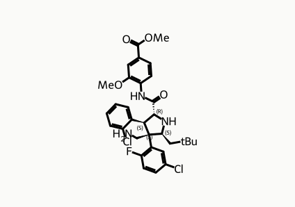 COC(=O)c1ccc(NC(=O)[C@@H]2N[C@@H](CC(C)(C)C)[C@](CN)(c3cc(Cl)ccc3F)[C@H]2c2ccccc2Cl)c(OC)c1